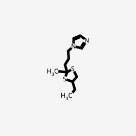 CCC1CSC(C)(CCCn2ccnc2)S1